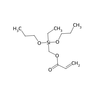 C=CC(=O)OC[Si](CC)(OCCC)OCCC